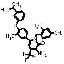 Cc1ccc(Cn2c(-c3ccc(Oc4cccc(C(C)C)c4)c(C)c3)cc(C(F)(F)F)c(N)c2=O)c(C)c1